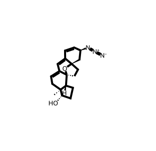 C[C@]12CC=C3C=C4C=C[C@@H](N=[N+]=[N-])C[C@]45CC[C@]3(O5)[C@@H]1CC[C@@H]2O